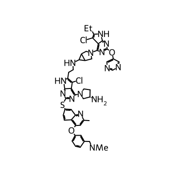 CCc1[nH]c2nc(Oc3cncnc3)nc(N3CC4C(C3)C4NCCc3[nH]c4nc(Sc5ccc6c(Oc7cccc(CNC)c7)cc(C)nc6c5)nc(N5CC[C@H](N)C5)c4c3Cl)c2c1Cl